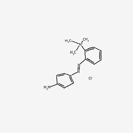 C[N+](C)(C)c1ccccc1N=Nc1ccc(N)cc1.[Cl-]